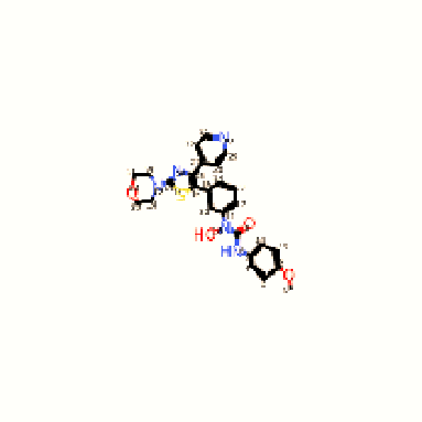 COc1ccc(NC(=O)N(O)c2cccc(-c3sc(N4CCOCC4)nc3-c3ccncc3)c2)cc1